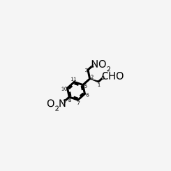 O=CC[C@H](C[N+](=O)[O-])c1ccc([N+](=O)[O-])cc1